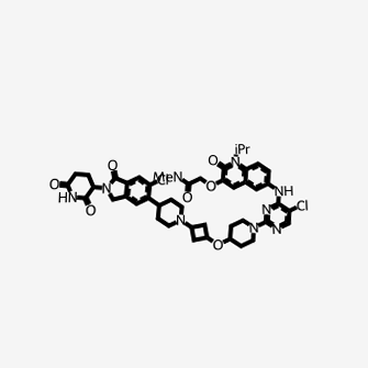 CNC(=O)COc1cc2cc(Nc3nc(N4CCC(OC5CC(N6CCC(c7cc8c(cc7Cl)C(=O)N(C7CCC(=O)NC7=O)C8)CC6)C5)CC4)ncc3Cl)ccc2n(C(C)C)c1=O